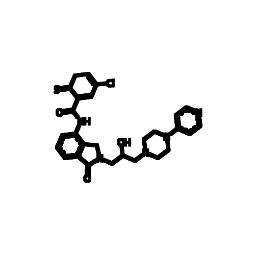 O=C(Nc1cccc2c1CN(CC(O)CN1CCN(c3ccncc3)CC1)C2=O)C1=CC(Cl)=CCC1=S